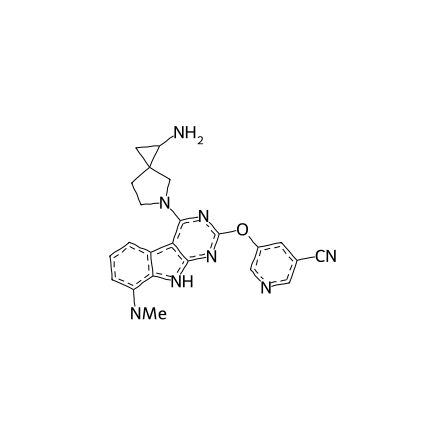 CNc1cccc2c1[nH]c1nc(Oc3cncc(C#N)c3)nc(N3CCC4(CC4N)C3)c12